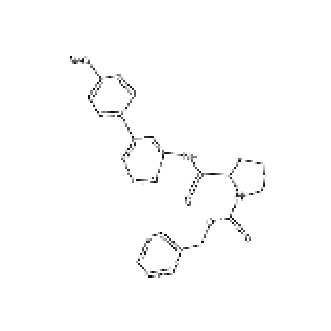 COc1ccc(-c2cccc(NC(=O)C3CCCN3C(=O)OCc3ccccc3)c2)cc1